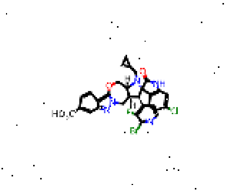 O=C(O)c1ccc2c3n(nc2c1)C[C@@H]1[C@H](CO3)N(CC2CC2)[C@@]2(C(=O)Nc3cc(Cl)ccc32)[C@H]1c1ccnc(Br)c1F